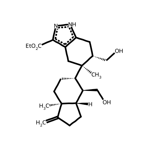 C=C1CC[C@H]2[C@H](CO)[C@@H]([C@@]3(C)Cc4c(C(=O)OCC)n[nH]c4C[C@@H]3CO)CC[C@]12C